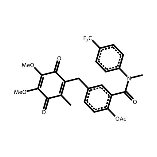 COC1=C(OC)C(=O)C(Cc2ccc(OC(C)=O)c(C(=O)N(C)c3ccc(C(F)(F)F)cc3)c2)=C(C)C1=O